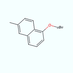 CCCCOc1cccc2cc(C)ccc12